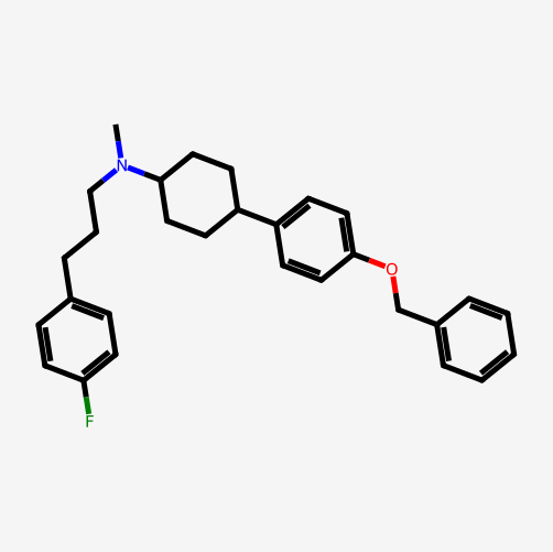 CN(CCCc1ccc(F)cc1)C1CCC(c2ccc(OCc3ccccc3)cc2)CC1